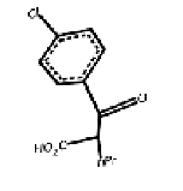 CCCC(C(=O)O)C(=O)c1ccc(Cl)cc1